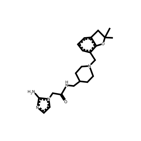 CC1(C)Cc2cccc(CN3CCC(CNC(=O)Cn4ccnc4N)CC3)c2O1